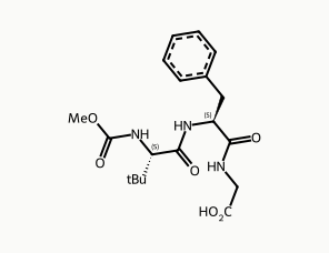 COC(=O)N[C@H](C(=O)N[C@@H](Cc1ccccc1)C(=O)NCC(=O)O)C(C)(C)C